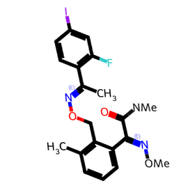 CNC(=O)/C(=N/OC)c1cccc(C)c1CO/N=C(\C)c1ccc(I)cc1F